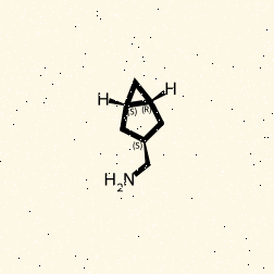 NC[C@H]1C[C@@H]2C[C@@H]2C1